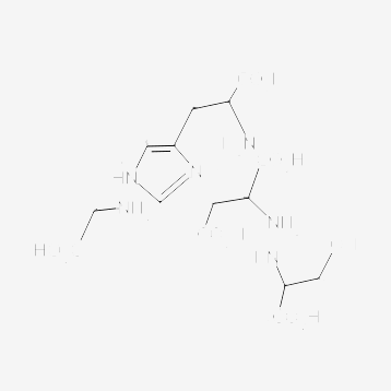 NC(CC(=O)O)C(=O)O.NC(CO)C(=O)O.NC(Cc1c[nH]cn1)C(=O)O.NCC(=O)O